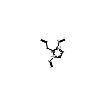 C=CCc1n(C=C)cc[n+]1C=C